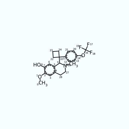 COc1cc2c(cc1O)C(C1(c3ccc(OC(F)(F)F)cc3)CCC1)N(C)CC2